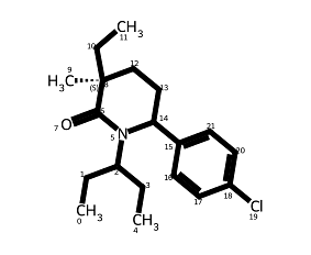 CCC(CC)N1C(=O)[C@@](C)(CC)CCC1c1ccc(Cl)cc1